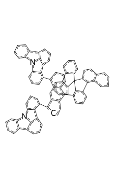 c1ccc2c(c1)-c1ccccc1C21c2ccc3ccccc3c2-c2cccc(-c3c4cccc(-c5cccc6c5c5cccc7c8ccccc8n6c75)c4cc4c(-c5cccc6c5c5cccc7c8ccccc8n6c75)cccc34)c21